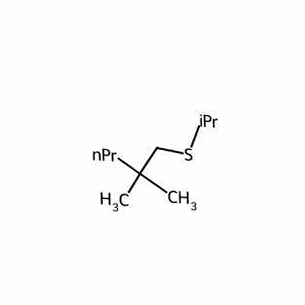 CCCC(C)(C)CSC(C)C